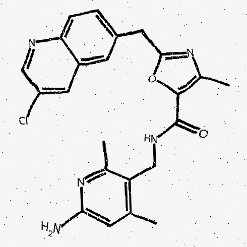 Cc1cc(N)nc(C)c1CNC(=O)c1oc(Cc2ccc3ncc(Cl)cc3c2)nc1C